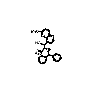 COC(=O)C(NC(c1ccccc1)c1ccccc1)C(O)c1ccnc2ccc(OC)nc12